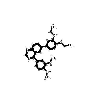 CCOc1ccc(-c2ccc3ncnc(-c4ccc(OC)c(OC)c4)c3c2)cc1OCC